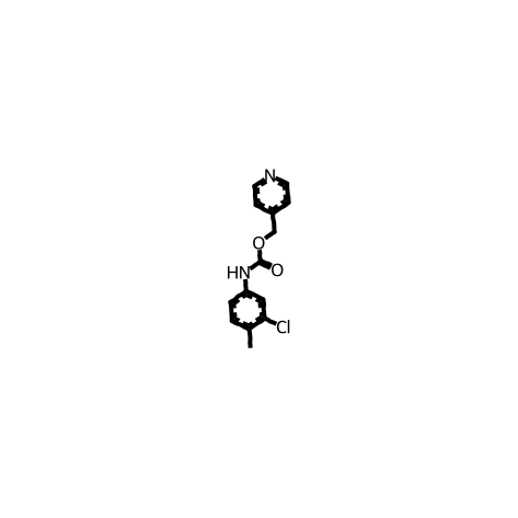 Cc1ccc(NC(=O)OCc2ccncc2)cc1Cl